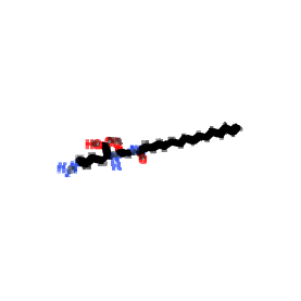 CCCCCCCCCCCCCCCC(=O)NCC(=O)N[C@@H](CCCCN)C(=O)O